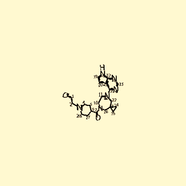 O=CCN1CCC(C(=O)N2CCN(c3ncnc4[nH]ccc34)CC3(CC3)C2)CC1